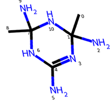 CC1(N)N=C(N)NC(C)(N)N1